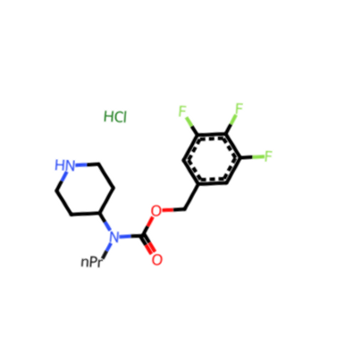 CCCN(C(=O)OCc1cc(F)c(F)c(F)c1)C1CCNCC1.Cl